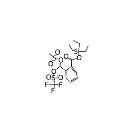 CC[Si](CC)(CC)OC(=O)c1ccccc1C(OS(C)(=O)=O)OS(=O)(=O)C(F)(F)F